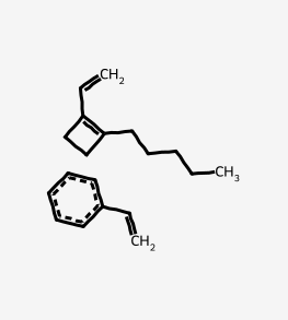 C=CC1=C(CCCCC)CC1.C=Cc1ccccc1